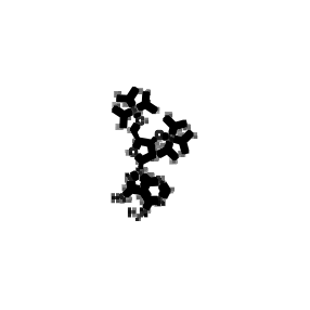 CC(C)[Si](OC[C@@H]1O[C@H](n2nc(S)c3c(N)ncnc32)C[C@@H]1O[Si](C(C)C)(C(C)C)C(C)C)(C(C)C)C(C)C